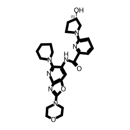 O=C(Nc1cc2oc(N3CCOCC3)nc2nc1N1CCCCC1)c1cccc(N2CC[C@H](O)C2)n1